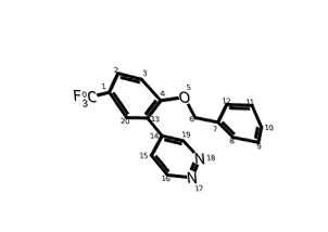 FC(F)(F)c1ccc(OCc2ccccc2)c(-c2ccnnc2)c1